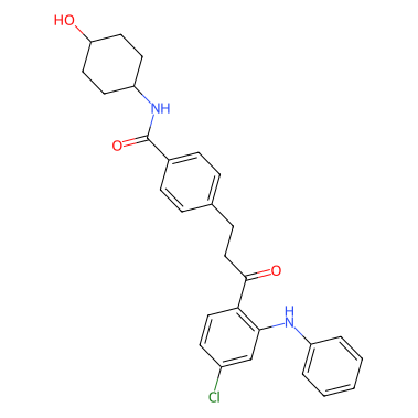 O=C(NC1CCC(O)CC1)c1ccc(CCC(=O)c2ccc(Cl)cc2Nc2ccccc2)cc1